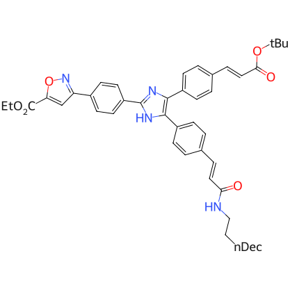 CCCCCCCCCCCCNC(=O)C=Cc1ccc(-c2[nH]c(-c3ccc(-c4cc(C(=O)OCC)on4)cc3)nc2-c2ccc(C=CC(=O)OC(C)(C)C)cc2)cc1